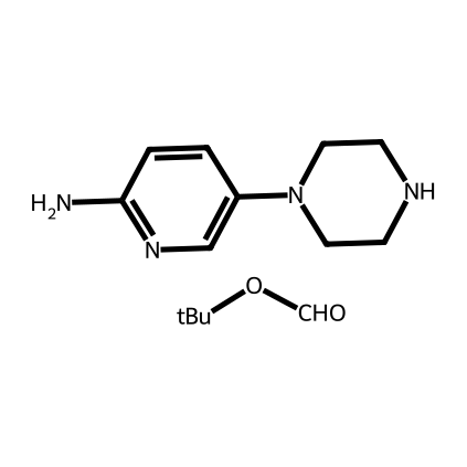 CC(C)(C)OC=O.Nc1ccc(N2CCNCC2)cn1